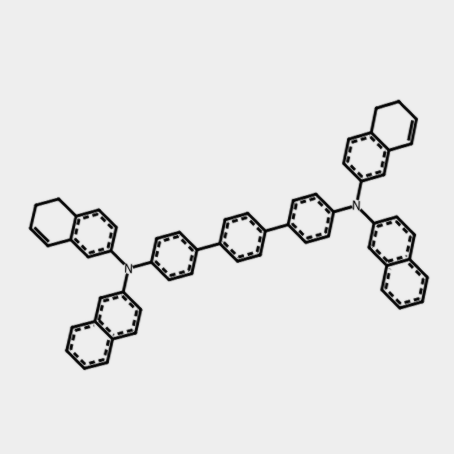 C1=Cc2cc(N(c3ccc(-c4ccc(-c5ccc(N(c6ccc7c(c6)C=CCC7)c6ccc7ccccc7c6)cc5)cc4)cc3)c3ccc4ccccc4c3)ccc2CC1